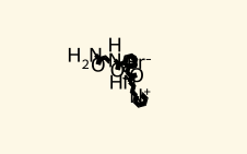 NC(=O)CCNC(=O)c1ccccc1SC(=O)NCC[n+]1ccccc1.[Br-]